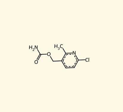 Cc1nc(Cl)ccc1COC(N)=O